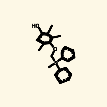 Cc1cc(O)c(C)c(C)c1OC[Si](C)(c1ccccc1)c1ccccc1